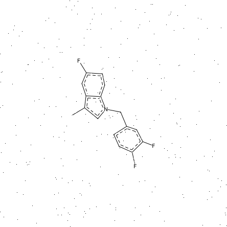 Cc1cn(Cc2ccc(F)c(F)c2)c2ccc(F)cc12